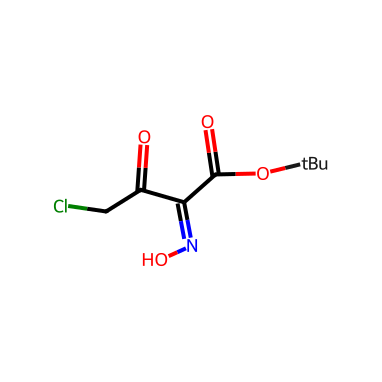 CC(C)(C)OC(=O)C(=NO)C(=O)CCl